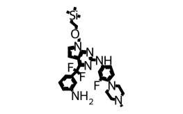 CN1CCN(c2ccc(Nc3nc(C(F)(F)c4cccc(N)c4)c4ccn(COCC[Si](C)(C)C)c4n3)cc2F)CC1